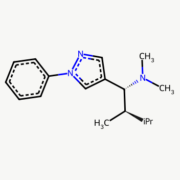 CC(C)[C@@H](C)[C@H](c1cnn(-c2ccccc2)c1)N(C)C